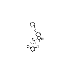 Cc1[nH]c2ccc(CCN3CCCCC3)cc2c1C(=O)OC(C)c1c(Cl)cccc1Cl